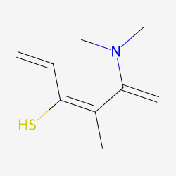 C=C/C(S)=C(/C)C(=C)N(C)C